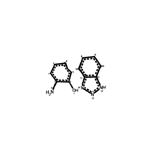 Nc1ccccc1O.c1ccc2[nH]nnc2c1